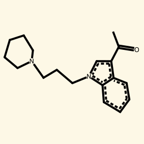 CC(=O)c1cn(CCCN2CCCCC2)c2ccccc12